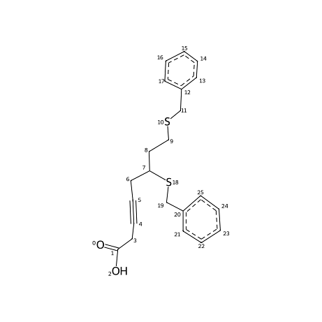 O=C(O)CC#CCC(CCSCc1ccccc1)SCc1ccccc1